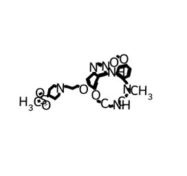 CN1CCNCCCOc2cc3c(ncnc3cc2OCCCN2CCC(S(C)(=O)=O)CC2)Nc2c(ccc3c2OCO3)C1